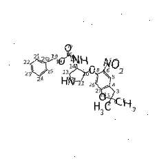 CC1(C)Cc2cc([N+](=O)[O-])c(OC3CNCC3NC(=O)OCc3ccccc3)cc2O1